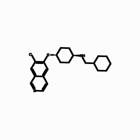 Clc1cc2cnccc2cc1O[C@H]1CC[C@H](NCC2CCCCC2)CC1